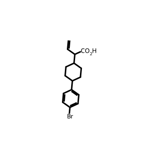 C=CC(C(=O)O)C1CCC(c2ccc(Br)cc2)CC1